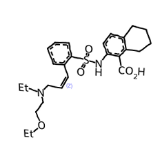 CCOCCN(CC)C/C=C\c1ccccc1S(=O)(=O)Nc1ccc2c(c1C(=O)O)CCCC2